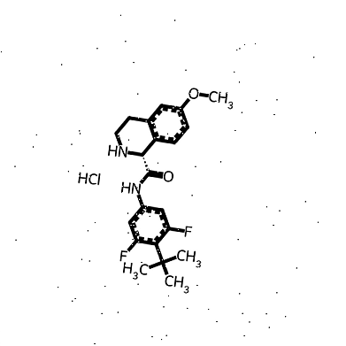 COc1ccc2c(c1)CCN[C@H]2C(=O)Nc1cc(F)c(C(C)(C)C)c(F)c1.Cl